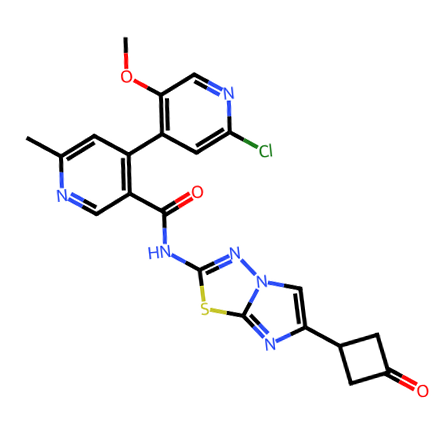 COc1cnc(Cl)cc1-c1cc(C)ncc1C(=O)Nc1nn2cc(C3CC(=O)C3)nc2s1